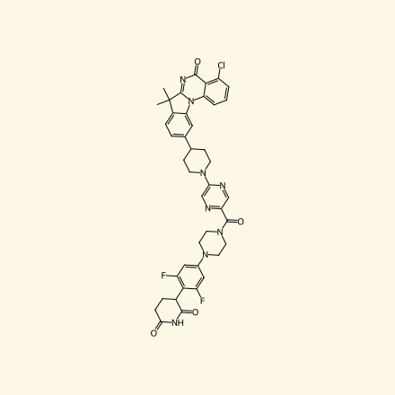 CC1(C)c2ccc(C3CCN(c4cnc(C(=O)N5CCN(c6cc(F)c(C7CCC(=O)NC7=O)c(F)c6)CC5)cn4)CC3)cc2-n2c1nc(=O)c1c(Cl)cccc12